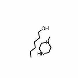 CCCCCCO.CN1CCNCC1